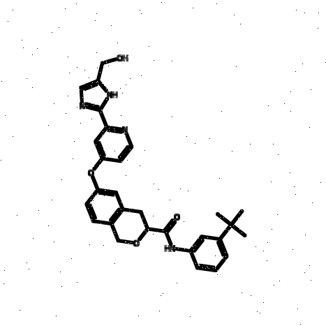 CC(C)(C)c1cccc(NC(=O)C2Cc3cc(Oc4ccnc(-c5ncc(CO)[nH]5)c4)ccc3CO2)c1